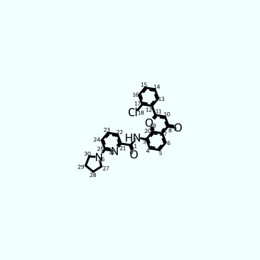 O=C(Nc1cccc2c(=O)cc(-c3ccccc3Cl)oc12)c1cccc(N2CCCC2)n1